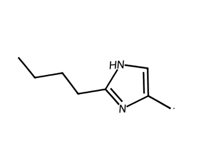 [CH2]c1c[nH]c(CCCC)n1